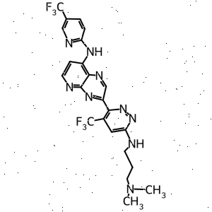 CN(C)CCCNc1cc(C(F)(F)F)c(-c2cnc3c(Nc4ccc(C(F)(F)F)cn4)ccnc3n2)nn1